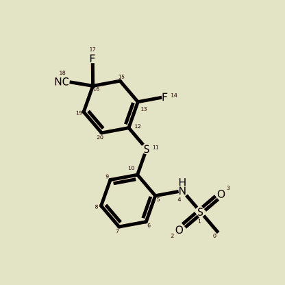 CS(=O)(=O)Nc1ccccc1SC1=C(F)CC(F)(C#N)C=C1